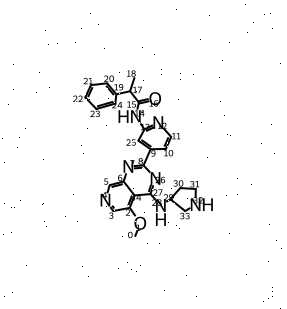 COc1cncc2nc(-c3ccnc(NC(=O)C(C)c4ccccc4)c3)nc(NC3CCNC3)c12